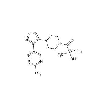 Cc1cnc(-n2nccc2C2CCN(C(=O)[C@@](C)(O)C(F)(F)F)CC2)cn1